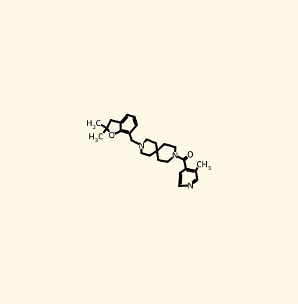 Cc1cnccc1C(=O)N1CCC2(CCN(Cc3cccc4c3OC(C)(C)C4)CC2)CC1